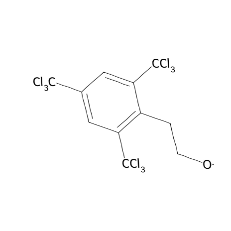 [O]CCc1c(C(Cl)(Cl)Cl)cc(C(Cl)(Cl)Cl)cc1C(Cl)(Cl)Cl